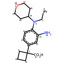 CC(C)CN(c1ccc(C2(C(=O)O)CCC2)cc1N)C1CCOCC1